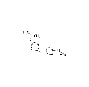 COc1ccc([I+]c2ccc(CC(C)C)cc2)cc1